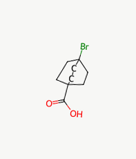 O=C(O)C12CCC(Br)(CC1)CC2